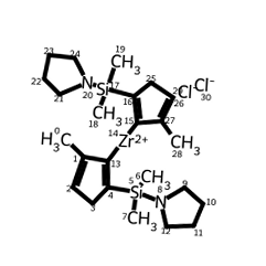 CC1=CCC([Si](C)(C)N2CCCC2)=[C]1[Zr+2][C]1=C([Si](C)(C)N2CCCC2)CC=C1C.[Cl-].[Cl-]